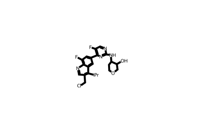 CC(C)c1c(CCl)cnc2c(F)cc(-c3nc(NC4CCOCC4O)ncc3F)cc12